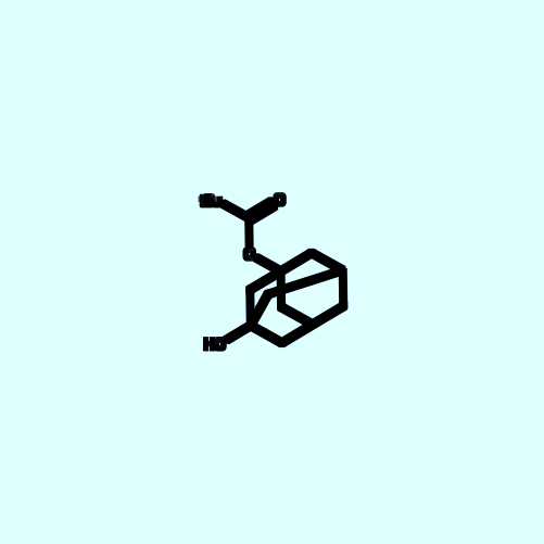 CC(C)(C)C(=O)OC12CC3CC(CC(O)(C3)C1)C2